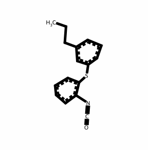 CCCc1cccc(Sc2ccccc2N=C=O)c1